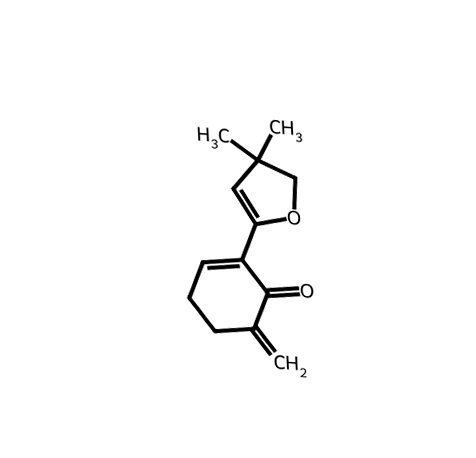 C=C1CCC=C(C2=CC(C)(C)CO2)C1=O